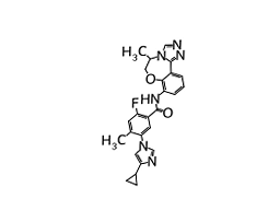 Cc1cc(F)c(C(=O)Nc2cccc3c2OCC(C)n2cnnc2-3)cc1-n1cnc(C2CC2)c1